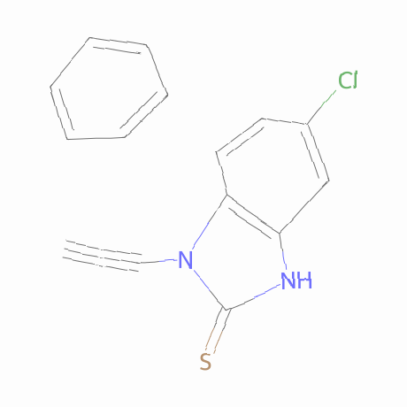 C#Cn1c(=S)[nH]c2cc(Cl)ccc21.c1ccccc1